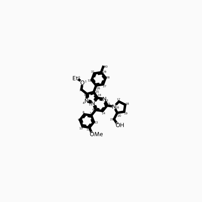 CCOCc1nn2c(-c3cccc(OC)c3)cc(N3CCCC3CO)nc2c1-c1ccc(C)cc1